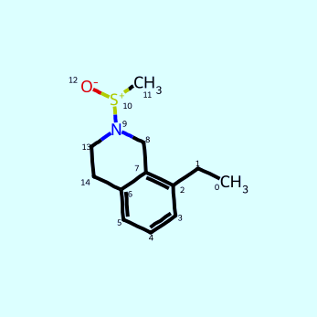 CCc1cccc2c1CN([S+](C)[O-])CC2